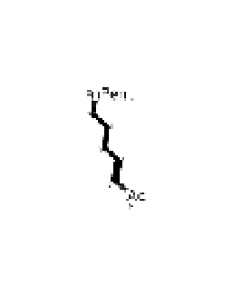 CCCCCCCC/C=C/C(C)=O